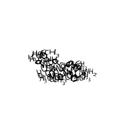 CC(c1ccccc1)N(CC(=O)N(CC(=O)N(CC(=O)N(CC(=O)N(CC(=O)N(CC(N)=O)[C@H](C)c1ccccc1)C(C)c1ccccc1)[C@H](C)c1ccccc1)[C@H](C)c1ccccc1)C1CC(C)(C)N(O)C(C)(C)C1)C(=O)CNC1CC(C)(C)N(O)C(C)(C)C1